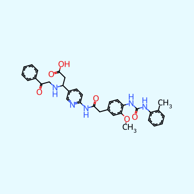 COc1cc(CC(=O)Nc2ccc(C(CC(=O)O)NCC(=O)c3ccccc3)cn2)ccc1NC(=O)Nc1ccccc1C